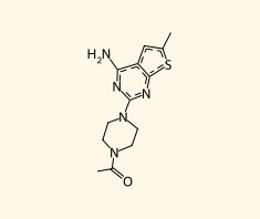 CC(=O)N1CCN(c2nc(N)c3cc(C)sc3n2)CC1